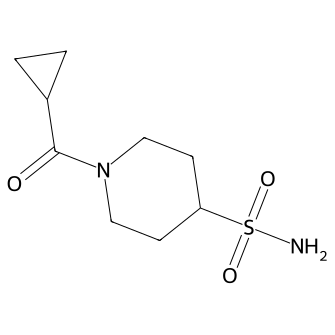 NS(=O)(=O)C1CCN(C(=O)C2CC2)CC1